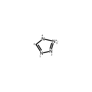 [C]1=NN=[N+][N]1